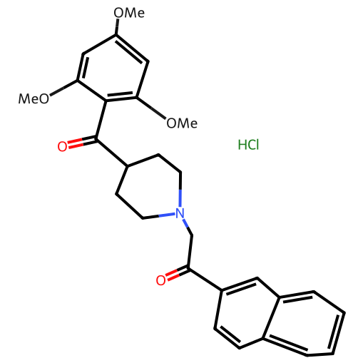 COc1cc(OC)c(C(=O)C2CCN(CC(=O)c3ccc4ccccc4c3)CC2)c(OC)c1.Cl